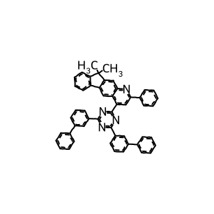 CC1(C)c2ccccc2-c2cc3c(-c4nc(-c5cccc(-c6ccccc6)c5)nc(-c5cccc(-c6ccccc6)c5)n4)cc(-c4ccccc4)nc3cc21